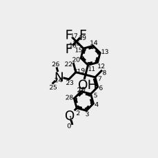 COc1ccc(C=C(C)C(O)(c2cccc(C(F)(F)F)c2)C(C)CN(C)C)cc1